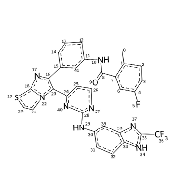 Cc1ccc(F)cc1C(=O)Nc1cccc(-c2nc3sccn3c2-c2ccnc(Nc3ccc4[nH]c(C(F)(F)F)nc4c3)n2)c1